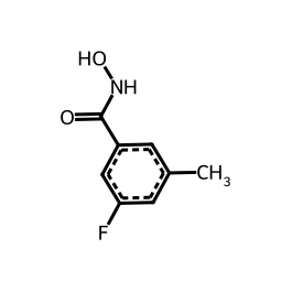 Cc1cc(F)cc(C(=O)NO)c1